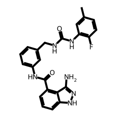 Cc1ccc(F)c(NC(=O)NCc2cccc(NC(=O)c3cccc4[nH]nc(N)c34)c2)c1